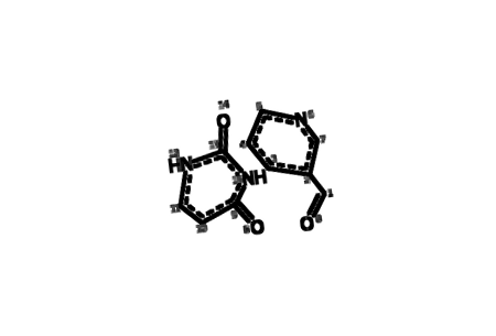 O=Cc1cccnc1.O=c1cc[nH]c(=O)[nH]1